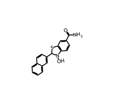 NC(=O)c1ccc2c(c1)SC(c1ccc3ccccc3c1)N2O